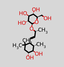 C[C@@H]1[C@@H](O)[C@H](O)CC(C)(C)[C@H]1/C=C/[C@@H](C)O[C@@H]1O[C@H](CO)[C@@H](O)[C@H](O)[C@H]1O